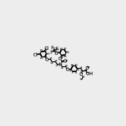 CCOC(Cc1ccc(OCCN(CCCCOc2cc(Cl)cc(Cl)c2)C(=O)Oc2ccccc2OC(F)(F)F)cc1)C(=O)O